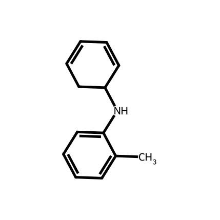 Cc1ccccc1NC1C=CC=CC1